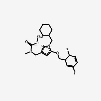 CN(Cc1cc(OCC2C=C(F)C=CC2F)n(CC2CCCCC2)n1)C(=O)OC(C)(C)C